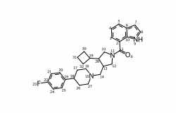 O=C(c1cccc2cc[nH]c12)N1CC(CN2CCC(c3ccc(F)cc3)CC2)C(C2CCC2)C1